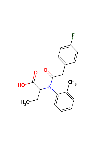 CCC(C(=O)O)N(C(=O)Cc1ccc(F)cc1)c1ccccc1C